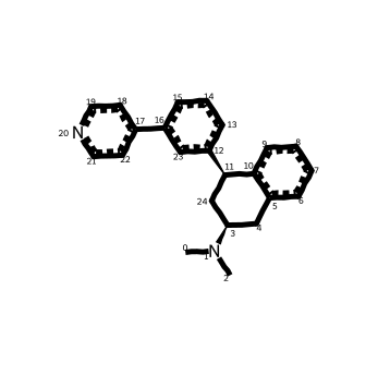 CN(C)[C@@H]1Cc2ccccc2[C@H](c2cccc(-c3ccncc3)c2)C1